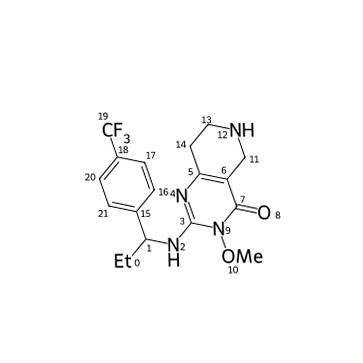 CCC(Nc1nc2c(c(=O)n1OC)CNCC2)c1ccc(C(F)(F)F)cc1